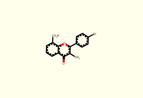 CCc1ccc(-c2oc3c(C(=O)O)cccc3c(=O)c2C)cc1